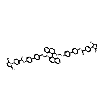 O=C(Oc1ccc(-c2ccc(OCOc3ccc4ccccc4c3-c3c(OCOc4ccc(-c5ccc(OC(=O)c6ccc(N7C(=O)C=CC7=O)cc6)cc5)cc4)ccc4ccccc34)cc2)cc1)c1ccc(N2C(=O)C=CC2=O)cc1